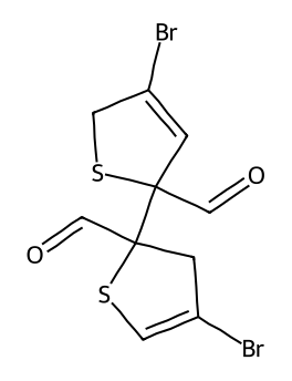 O=CC1(C2(C=O)CC(Br)=CS2)C=C(Br)CS1